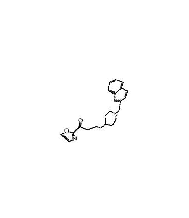 O=C(CCCC1CCN(Cc2ccc3ccccc3c2)CC1)c1ncco1